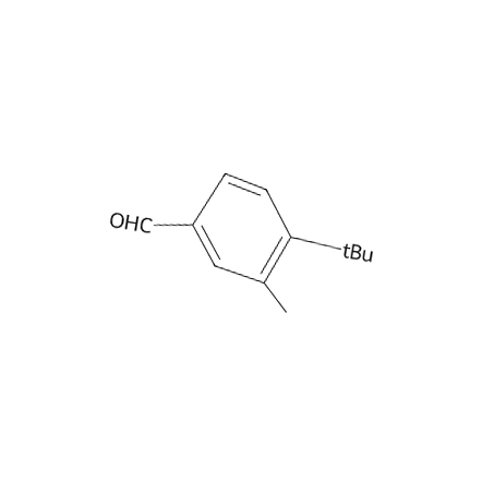 Cc1cc(C=O)ccc1C(C)(C)C